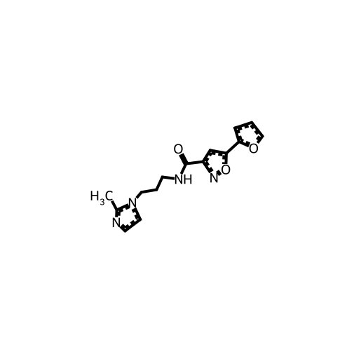 Cc1nccn1CCCNC(=O)c1cc(-c2ccco2)on1